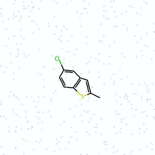 Cc1cc2cc(Cl)c[c]c2s1